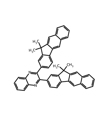 CC1(C)c2cc(-c3nc4ccccc4nc3-c3ccc4c(c3)C(C)(C)c3cc5ccccc5cc3-4)ccc2-c2cc3ccccc3cc21